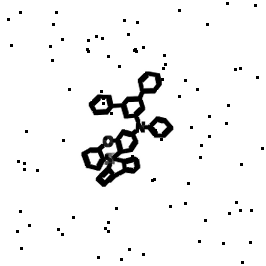 c1ccc(-c2cc(-c3ccccc3)cc(N(c3ccccc3)c3ccc4c(c3)Oc3ccccc3[Si]43c4ccccc4-c4ccccc43)c2)cc1